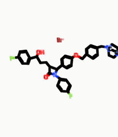 O=C1C(CCC(O)c2ccc(F)cc2)C(c2ccc(OCc3ccc(C[N+]45CCN(CC4)CC5)cc3)cc2)N1c1ccc(F)cc1.[Br-]